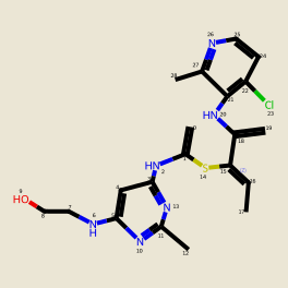 C=C(Nc1cc(NCCO)nc(C)n1)S/C(=C\C)C(=C)Nc1c(Cl)ccnc1C